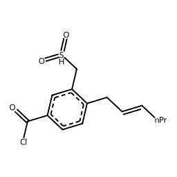 CCCC=CCc1ccc(C(=O)Cl)cc1C[SH](=O)=O